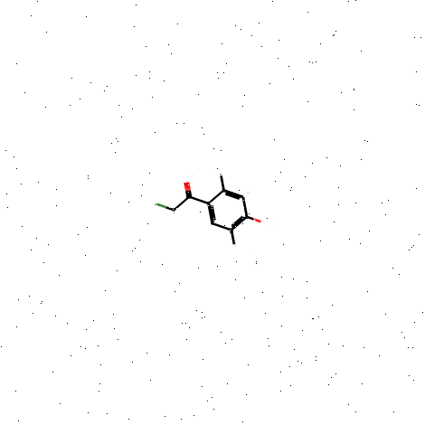 Cc1cc(C(=O)CCl)c(C)cc1O